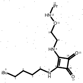 CCC(C)CCCCNc1c(NCCONC(C)C)c(=O)c1=O